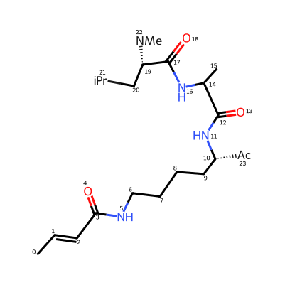 C/C=C/C(=O)NCCCC[C@H](NC(=O)C(C)NC(=O)[C@H](CC(C)C)NC)C(C)=O